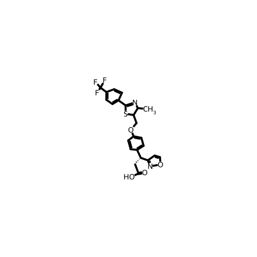 CC1N=C(c2ccc(C(F)(F)F)cc2)SC1COc1ccc([C@@H](CC(=O)O)c2ccon2)cc1